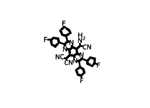 N#CC(N)=c1c2nc(-c3ccc(F)cc3)c(-c3ccc(F)cc3)nc2c(=C(C#N)C#N)c2nc(-c3ccc(F)cc3)c(-c3ccc(F)cc3)nc12